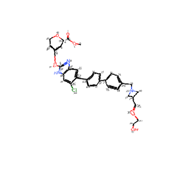 COC(=O)[C@@H]1CC(Oc2nc3cc(-c4ccc(-c5ccc(CN6CC(COCCO)C6)cc5)cc4)c(Cl)cc3[nH]2)CCO1